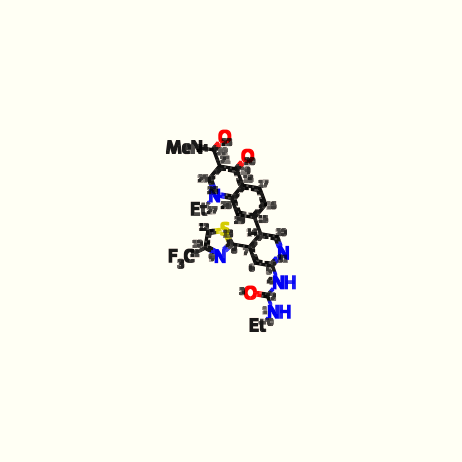 CCNC(=O)Nc1cc(-c2nc(C(F)(F)F)cs2)c(-c2ccc3c(=O)c(C(=O)NC)cn(CC)c3c2)cn1